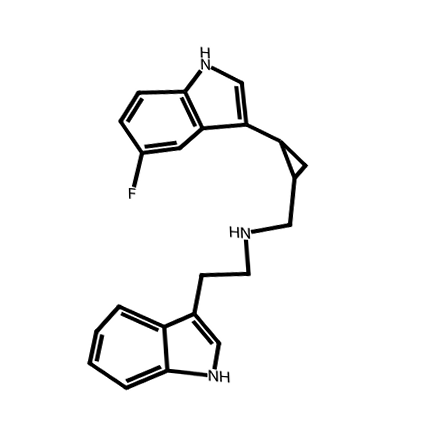 Fc1ccc2[nH]cc(C3CC3CNCCc3c[nH]c4ccccc34)c2c1